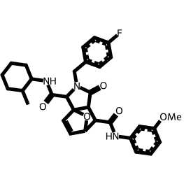 COc1cccc(NC(=O)C2C3C=CC4(O3)C2C(=O)N(Cc2ccc(F)cc2)C4C(=O)NC2CCCCC2C)c1